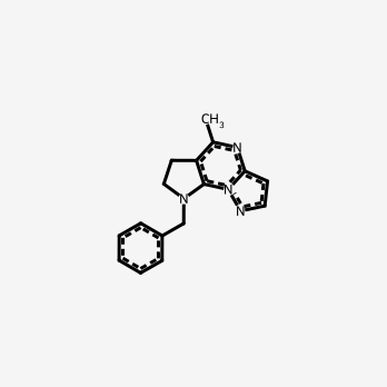 Cc1nc2ccnn2c2c1CCN2Cc1ccccc1